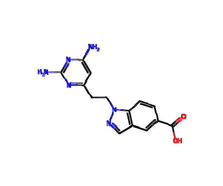 Nc1cc(CCn2ncc3cc(C(=O)O)ccc32)nc(N)n1